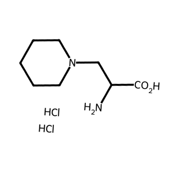 Cl.Cl.NC(CN1CCCCC1)C(=O)O